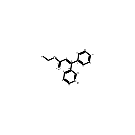 CCOC(=O)C=C(c1ccccc1)c1cccnc1